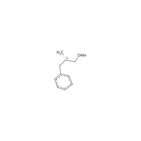 COC[C@@H](C)Cc1ccccc1